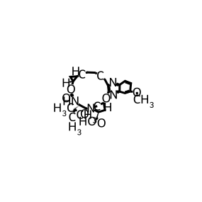 COc1ccc2nc3c(nc2c1)O[C@@H]1C[C@@H](C(=O)O)N(C1)C(=O)[C@H](C(C)(C)C)NC(=O)O[C@@H]1C[C@H]1CCCCC3